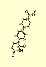 COC(=O)N1CCN(c2ccc(N3CCC(=O)NC3=O)cc2)CC1